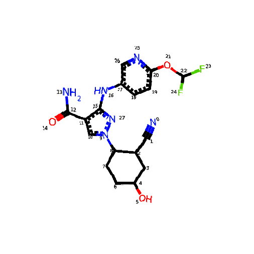 N#CC1CC(O)CCC1n1cc(C(N)=O)c(Nc2ccc(OC(F)F)nc2)n1